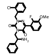 COc1cccc(-c2nn(Cc3ccccc3Cl)c(=O)n(CC(N)c3ccccc3)c2=O)c1F